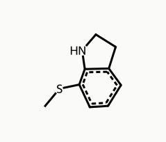 CSc1cccc2c1NCC2